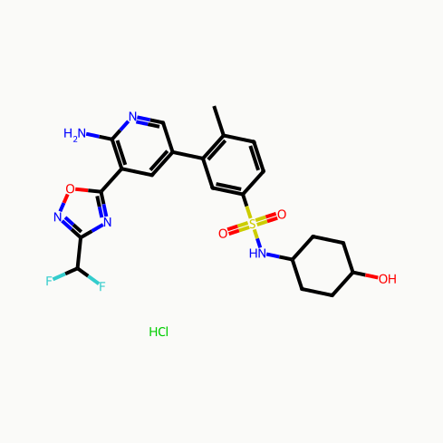 Cc1ccc(S(=O)(=O)NC2CCC(O)CC2)cc1-c1cnc(N)c(-c2nc(C(F)F)no2)c1.Cl